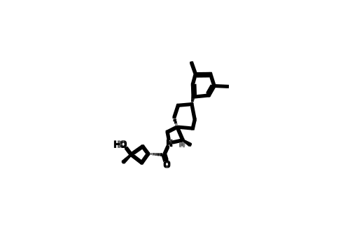 Cc1cc(C)cc([C@H]2CC[C@@]3(CC2)CN(C(=O)[C@H]2C[C@@](C)(O)C2)[C@@H]3C)c1